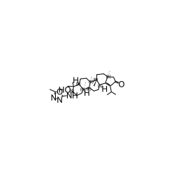 Cc1nnc(N[C@]2(O)CC[C@]3(C)[C@H]4CC[C@@H]5C6=C(C(C)C)C(=O)C[C@]6(C)CC[C@@]5(C)[C@]4(C)CC[C@H]3C2(C)C)o1